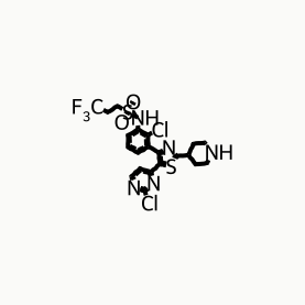 O=S(=O)(CCC(F)(F)F)Nc1cccc(-c2nc(C3CCNCC3)sc2-c2ccnc(Cl)n2)c1Cl